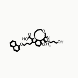 Cc1c2c(nn1CCCO)COCCCCn1c(C(=O)O)c(CCCOc3cccc4ccccc34)c3ccc(Cl)c-2c31